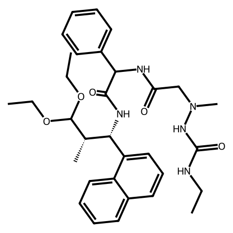 CCNC(=O)NN(C)CC(=O)NC(C(=O)N[C@H](c1cccc2ccccc12)[C@H](C)C(OCC)OCC)c1ccccc1